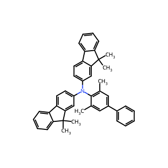 Cc1cc(-c2ccccc2)cc(C)c1N(c1ccc2c(c1)C(C)(C)c1ccccc1-2)c1ccc2c(c1)C(C)(C)c1ccccc1-2